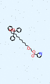 O=C(OCCOCCCCCCCCCC(Cc1ccccc1)(c1ccccc1)[C@@H](O)c1ccccc1)c1cccnc1